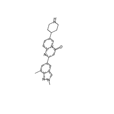 Cc1cc(-c2cc(=O)n3cc(C4CCNCC4)ccc3n2)cc2cn(C)nc12